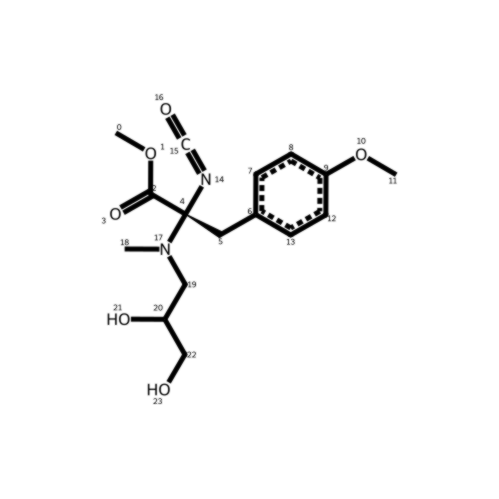 COC(=O)[C@](Cc1ccc(OC)cc1)(N=C=O)N(C)CC(O)CO